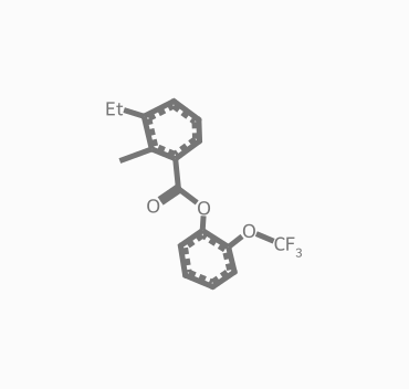 CCc1cccc(C(=O)Oc2ccccc2OC(F)(F)F)c1C